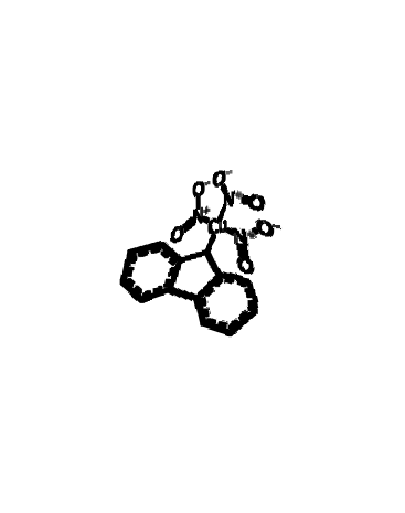 O=[N+]([O-])[Cu]([CH]1c2ccccc2-c2ccccc21)([N+](=O)[O-])[N+](=O)[O-]